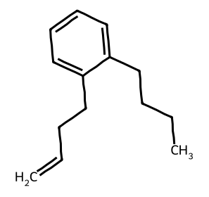 C=CCCc1ccccc1CCCC